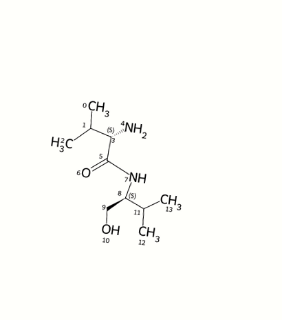 CC(C)[C@H](N)C(=O)N[C@H](CO)C(C)C